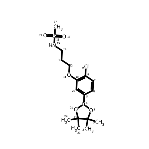 CC1(C)OB(c2ccc(Cl)c(OCCCNS(C)(=O)=O)c2)OC1(C)C